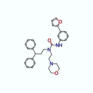 O=C(Nc1cccc(-c2ccco2)c1)N(CCC(c1ccccc1)c1ccccc1)CCN1CCOCC1